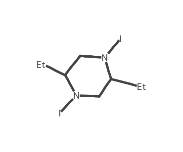 CCC1CN(I)C(CC)CN1I